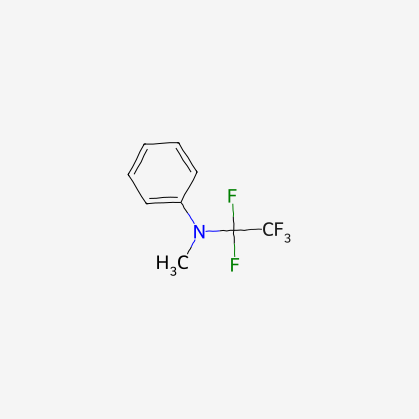 CN(c1ccccc1)C(F)(F)C(F)(F)F